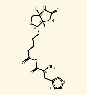 N[C@@H](Cc1cnc[nH]1)C(=O)OC(=O)CCCC[C@@H]1SC[C@@H]2NC(=O)N[C@@H]21